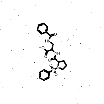 O=C(NCC(NC(=O)C1CCCN1S(=O)(=O)c1ccccc1)C(=O)O)c1ccccc1